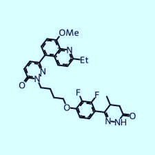 CCc1ccc2c(-c3ccc(=O)n(CCCCOc4ccc(C5=NNC(=O)CC5C)c(F)c4F)n3)ccc(OC)c2n1